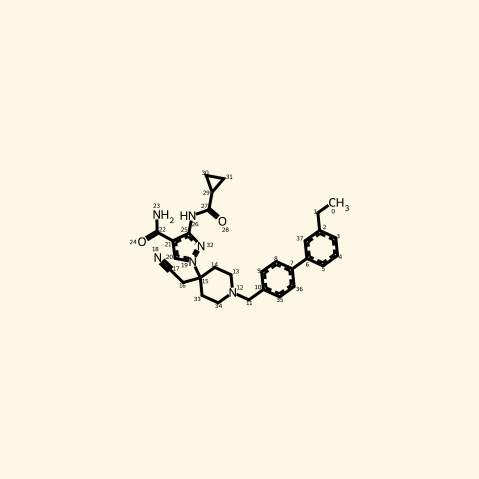 CCc1cccc(-c2ccc(CN3CCC(CC#N)(n4cc(C(N)=O)c(NC(=O)C5CC5)n4)CC3)cc2)c1